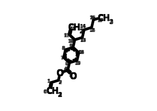 C=CCOC(=O)c1ccc(C(C=C)CCCCC)cc1